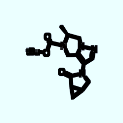 C[C@H]1Cn2ncc(N3CC4CC4C3=O)c2CN1C(=O)OC(C)(C)C